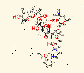 CCOc1ccccc1N1CCN(CC(O)CO[C@@](C)(CO[C@@H]2O[C@H](C)C[C@H](N(C)C)[C@H]2O)C[C@@H](C)NC(=O)[C@H](C)[C@@H](O)[C@](C)(O)[C@@H](CC)OC(=O)[C@H](C)C(OC2C[C@H](C)C(O)[C@H](C)O2)C(C)C)CC1